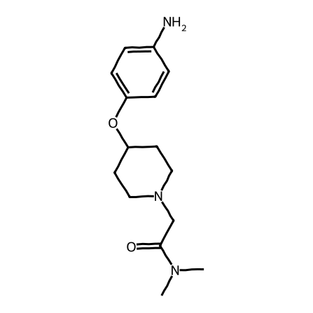 CN(C)C(=O)CN1CCC(Oc2ccc(N)cc2)CC1